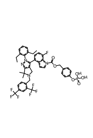 CCc1cccc(CC)c1-n1nc2c(c1-c1ccc(F)c3c1ccn3C(=O)OCc1ccc(OP(=O)(O)O)cc1)CN(Cc1ccc(C(F)(F)F)cc1C(F)(F)F)C2(C)C